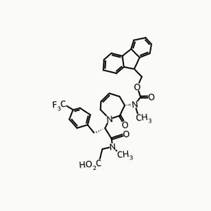 CN(CC(=O)O)C(=O)[C@H](Cc1ccc(C(F)(F)F)cc1)N1CC=CC[C@H](N(C)C(=O)OCC2c3ccccc3-c3ccccc32)C1=O